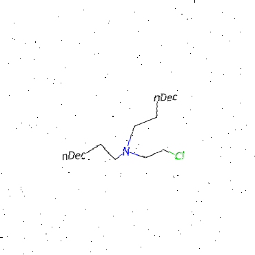 CCCCCCCCCCCCN(CCCl)CCCCCCCCCCCC